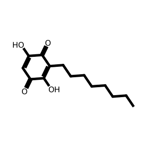 CCCCCCCCC1=C(O)C(=O)C=C(O)C1=O